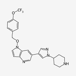 FC(F)(F)Oc1ccc(COn2ccc3ncc(-c4cnn(C5CCNCC5)c4)cc32)cc1